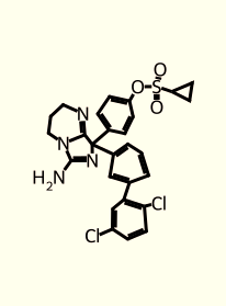 NC1=NC(c2ccc(OS(=O)(=O)C3CC3)cc2)(c2cccc(-c3cc(Cl)ccc3Cl)c2)C2=NCCCN12